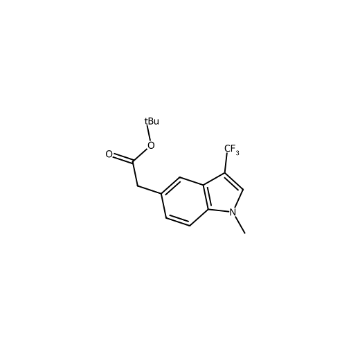 Cn1cc(C(F)(F)F)c2cc(CC(=O)OC(C)(C)C)ccc21